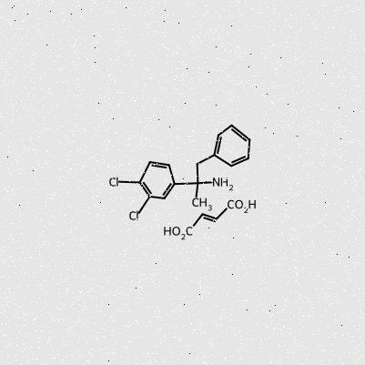 CC(N)(Cc1ccccc1)c1ccc(Cl)c(Cl)c1.O=C(O)C=CC(=O)O